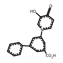 O=C(O)c1cc(-c2ccccc2)cc(-n2ccc(=O)c(O)c2)c1